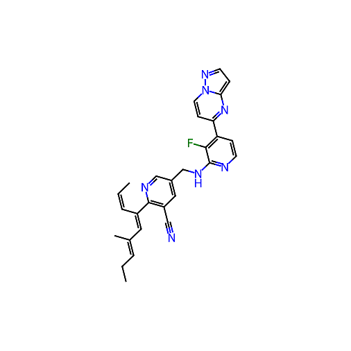 C\C=C/C(=C\C(C)=C\CC)c1ncc(CNc2nccc(-c3ccn4nccc4n3)c2F)cc1C#N